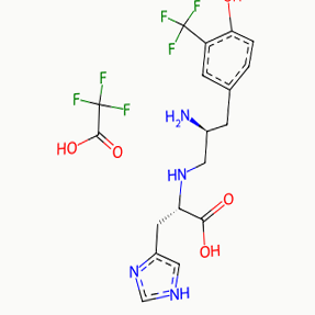 N[C@H](CN[C@@H](Cc1c[nH]cn1)C(=O)O)Cc1ccc(O)c(C(F)(F)F)c1.O=C(O)C(F)(F)F